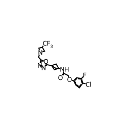 O=C(COc1ccc(Cl)c(F)c1)NC12CC(c3nnc(CN4CC(C(F)(F)F)C4)o3)(C1)C2